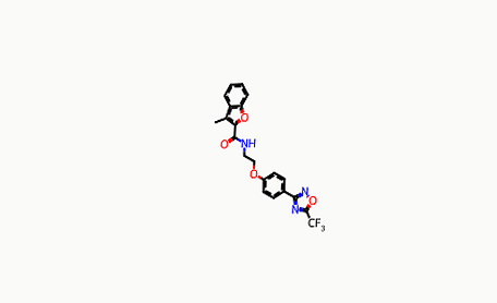 Cc1c(C(=O)NCCOc2ccc(-c3noc(C(F)(F)F)n3)cc2)oc2ccccc12